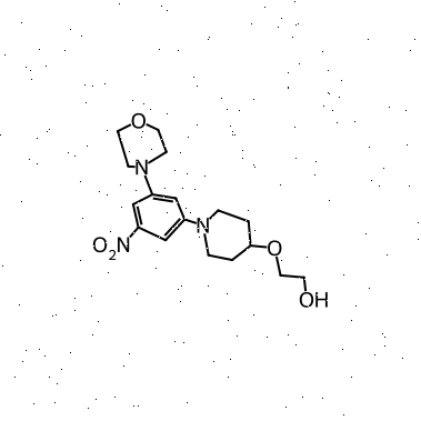 O=[N+]([O-])c1cc(N2CCOCC2)cc(N2CCC(OCCO)CC2)c1